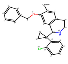 COc1cc2c(cc1OCc1ccccc1)C(C1(c3ccccc3Cl)CC1)NCC2